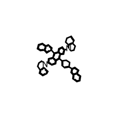 C1=CC2=C(CC1)N(c1ccc3c(-c4ccc5ccccc5c4)c4cc(N5CCCc6ccccc65)ccc4c(C4=CC=C(c5ccc6ccccc6c5)CC4)c3c1)CCC2